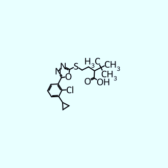 CC(C)(C)C(CCSc1nnc(-c2cccc(C3CC3)c2Cl)o1)C(=O)O